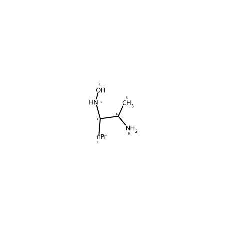 CCCC(NO)C(C)N